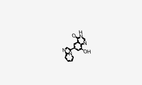 O=c1[nH]cnc2c(O)cc(-c3cnc4ccccn34)cc12